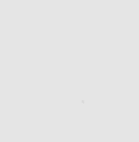 Cc1cc(C)cc(-c2cccc3c2C=C[CH]3[Hf]([CH3])([CH3])([CH3])(=[CH]Cc2ccccc2)[CH]2C=Cc3c(-c4cc(C)cc(C)c4)cccc32)c1